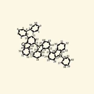 c1ccc(-c2ccccc2-c2ccc(-n3c4ccccc4c4c(-c5cccc6c5c5ccccc5n6-c5ccccc5)cccc43)c3c2oc2ccccc23)cc1